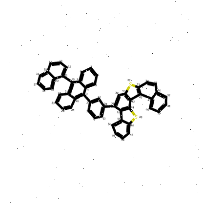 c1cc(-c2c3ccccc3c(-c3cccc4ccccc34)c3ccccc23)cc(-c2cc3sc4ccc5ccccc5c4c3c3sc4ccccc4c23)c1